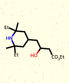 CCOC(=O)CC(O)CC1CC(C)(CC)NC(C)(CC)C1